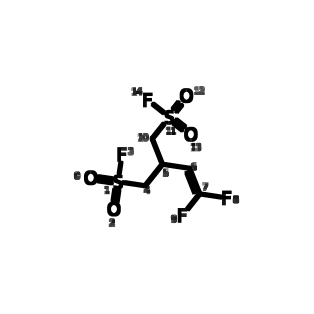 O=S(=O)(F)CC(C=C(F)F)CS(=O)(=O)F